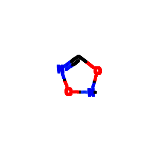 C1=NO[N]O1